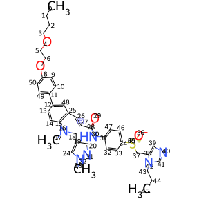 CCCCOCCOc1ccc(-c2ccc(N(C)Cc3cnn(C)c3)c(/C=C/C(=O)Nc3ccc([S@@+]([O-])Cc4cncn4CCC)cc3)c2)cc1